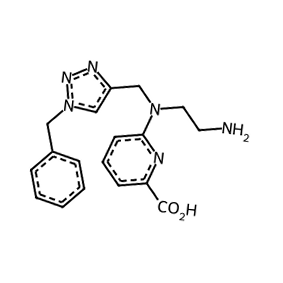 NCCN(Cc1cn(Cc2ccccc2)nn1)c1cccc(C(=O)O)n1